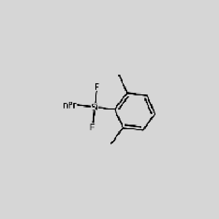 CCC[Si](F)(F)c1c(C)cccc1C